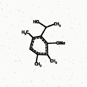 COc1c(C)c(C)cc(C)c1C(C)O